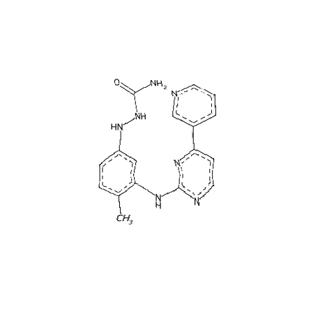 Cc1ccc(NNC(N)=O)cc1Nc1nccc(-c2cccnc2)n1